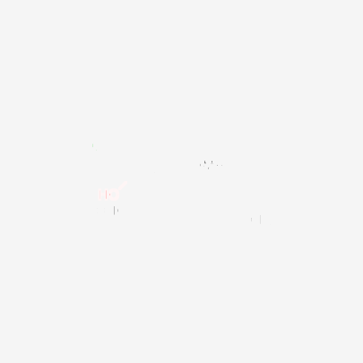 COc1cc(C(F)(F)F)ccc1C(=CC=O)c1cccc(Cl)c1O